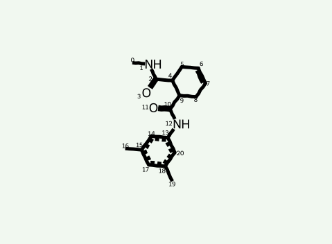 CNC(=O)C1CC=CCC1C(=O)Nc1cc(C)cc(C)c1